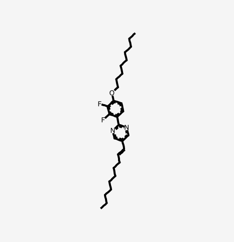 CCCCCCCCC=Cc1cnc(-c2ccc(OCCCCCCCCC)c(F)c2F)nc1